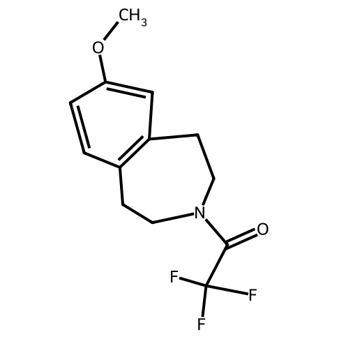 COc1ccc2c(c1)CCN(C(=O)C(F)(F)F)CC2